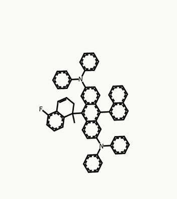 CC1(c2c3ccc(N(c4ccccc4)c4ccccc4)cc3c(-c3cccc4ccccc34)c3ccc(N(c4ccccc4)c4ccccc4)cc23)CC=Cc2c(F)cccc21